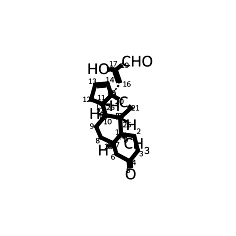 C[C@]12CCC(=O)C[C@@H]1CC[C@H]1[C@@H]3CC=C[C@@]3(C=C(O)C=O)CC[C@@H]12